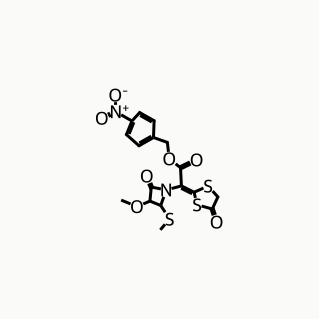 COC1C(=O)N(C(C(=O)OCc2ccc([N+](=O)[O-])cc2)=C2SCC(=O)S2)C1SC